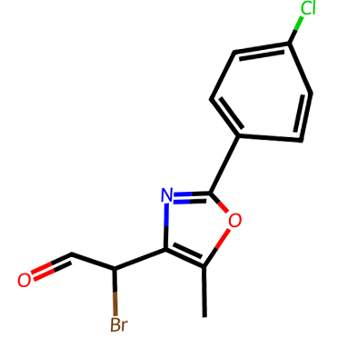 Cc1oc(-c2ccc(Cl)cc2)nc1C(Br)C=O